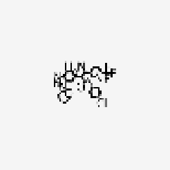 Nc1c(-c2ccc3nnn(C4CCCCO4)c3c2)c(=O)n(-c2ccc(Cl)cc2)c2nc(C(F)(F)F)ccc12